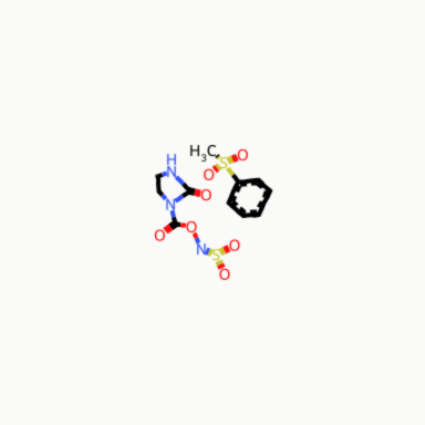 CS(=O)(=O)c1ccccc1.O=C1NCCN1C(=O)ON=S(=O)=O